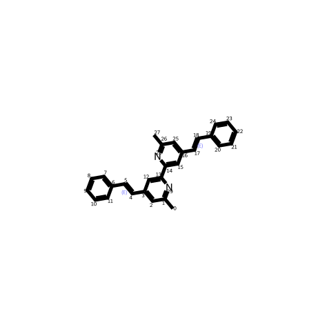 Cc1cc(/C=C/c2ccccc2)cc(-c2cc(/C=C/c3ccccc3)cc(C)n2)n1